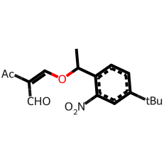 CC(=O)C(C=O)=COC(C)c1ccc(C(C)(C)C)cc1[N+](=O)[O-]